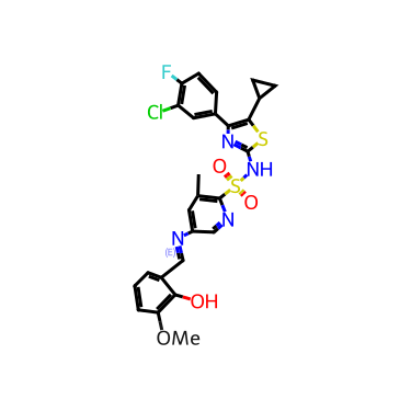 COc1cccc(/C=N/c2cnc(S(=O)(=O)Nc3nc(-c4ccc(F)c(Cl)c4)c(C4CC4)s3)c(C)c2)c1O